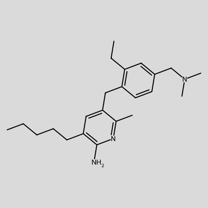 CCCCCc1cc(Cc2ccc(CN(C)C)cc2CC)c(C)nc1N